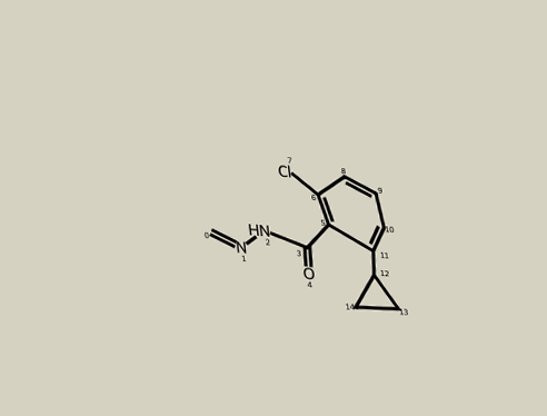 C=NNC(=O)c1c(Cl)cccc1C1CC1